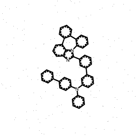 c1ccc(-c2ccc(N(c3ccccc3)c3cccc(-c4cccc(-c5nc6cccc7c6n5-c5ccccc5-c5ccccc5-7)c4)c3)cc2)cc1